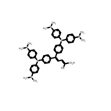 [C-]#[N+]/C(=C\C=C(c1ccc(N(c2ccc(N(C)C)cc2)c2ccc(N(C)C)cc2)cc1)c1ccc(N(c2ccc(N(C)C)cc2)c2ccc(N(C)C)cc2)cc1)C(=O)O